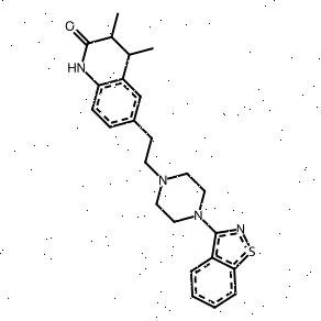 CC1C(=O)Nc2ccc(CCN3CCN(c4nsc5ccccc45)CC3)cc2C1C